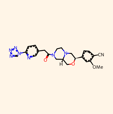 COc1cc([C@@H]2CN3CCN(C(=O)Cc4ccc(-n5cnnn5)nc4)C[C@H]3CO2)ccc1C#N